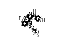 C[Si](C)(C)CCOCn1nc(-c2cc(NC3CCNCC3)ncc2C(F)(F)F)c2ccccc21